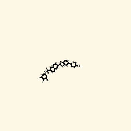 CC1CCC(c2ccc3nc(-c4ccc5cc(C(F)(F)Oc6cc(F)c(F)c(F)c6)ccc5c4)sc3c2)OC1